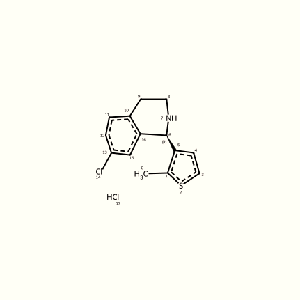 Cc1sccc1[C@@H]1NCCc2ccc(Cl)cc21.Cl